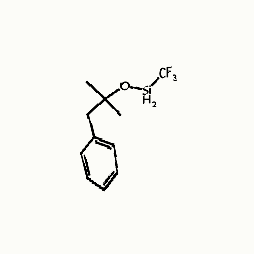 CC(C)(Cc1ccccc1)O[SiH2]C(F)(F)F